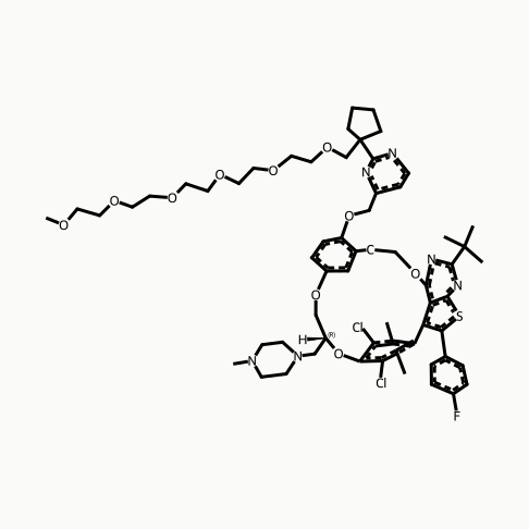 COCCOCCOCCOCCOCCOCC1(c2nccc(COc3ccc4cc3CCOc3nc(C(C)(C)C)nc5sc(-c6ccc(F)cc6)c(c35)-c3c(C)c(Cl)c(c(Cl)c3C)O[C@H](CN3CCN(C)CC3)CO4)n2)CCCC1